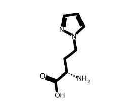 N[C@@H](CCn1cccn1)C(=O)O